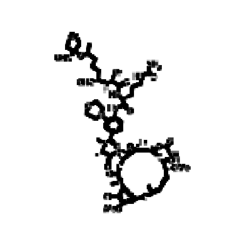 COc1cc2cc(c1Cl)N(C)C(=O)C[C@H](OC(=O)[C@H](C)N(C)C(=O)c1ccc(NC(=O)[C@H](CCCNC(N)=O)NC(=O)[C@@H](N[C@H](C=O)CCCC(C)OC(C=O)(CBr)CBr)C(C)C)c(N3CCOCC3)c1)[C@]1(C)O[C@H]1[C@H](C)[C@@H]1C[C@@](O)(NC(=O)O1)[C@H](OC)/C=C/C=C(\C)C2